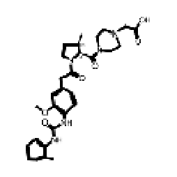 COc1cc(CC(=O)N2CC[C@@H](C)[C@H]2C(=O)N2CCN(CC(=O)O)CC2)ccc1NC(=O)Nc1ccccc1C